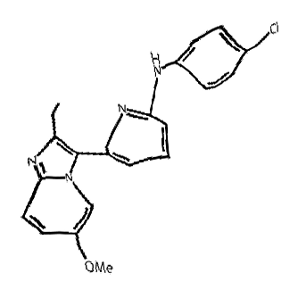 COc1ccc2nc(C)c(-c3cccc(Nc4ccc(Cl)cc4)n3)n2c1